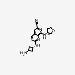 N#Cc1cc2cnc(N[C@H]3C[C@H](N)C3)nc2c(N[C@@H]2CCOC2)n1